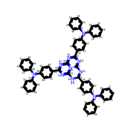 c1ccc(N(c2ccccc2)c2ccc(C3=Nc4nc(-c5ccc(N(c6ccccc6)c6ccccc6)cc5)nc5nc(-c6ccc(N(c7ccccc7)c7ccccc7)cc6)nc([n+]45)N3)cc2)cc1